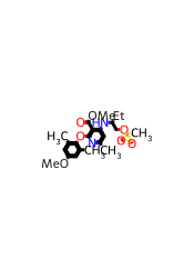 CCC(COS(C)(=O)=O)Nc1cc(C)nc(Oc2c(C)cc(OC)cc2C)c1C(=O)OC